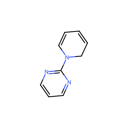 C1=CCN(c2ncccn2)C=C1